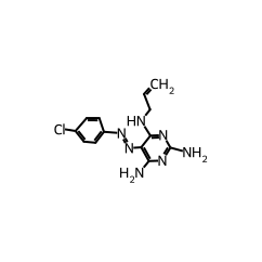 C=CCNc1nc(N)nc(N)c1N=Nc1ccc(Cl)cc1